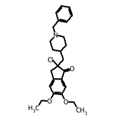 CCOc1cc2c(cc1OCC)C(=O)C(Cl)(CC1CCN(Cc3ccccc3)CC1)C2